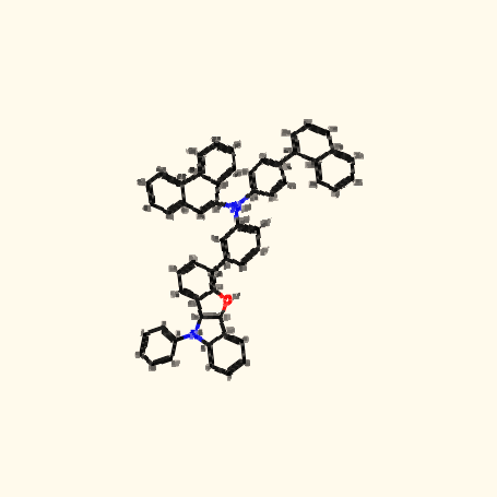 c1ccc(-n2c3ccccc3c3oc4c(-c5cccc(N(c6ccc(-c7cccc8ccccc78)cc6)c6cc7ccccc7c7ccccc67)c5)cccc4c32)cc1